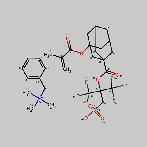 C=C(C)C(=O)OC12CC3CC(C1)CC(C(=O)OC(CS(=O)(=O)[O-])(C(F)(F)F)C(F)(F)F)(C3)C2.C[N+](C)(C)Cc1ccccc1